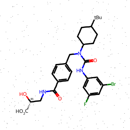 CC(C)(C)C1CCC(N(Cc2ccc(C(=O)NC[C@@H](O)C(=O)O)cc2)C(=O)Nc2cc(F)cc(Br)c2)CC1